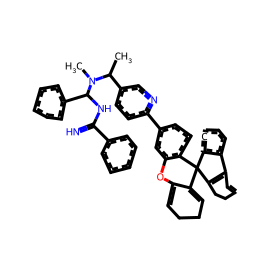 CC(c1ccc(-c2ccc3c(c2)OC2=CCCC=C2C32C3=C(C=CCC3)c3ccccc32)nc1)N(C)C(NC(=N)c1ccccc1)c1ccccc1